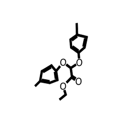 CCOC(=O)C(Oc1ccc(C)cc1)Oc1ccc(C)cc1